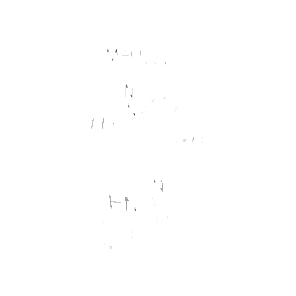 COC(=O)c1nn(C)c2cc(C(=O)C3CCN(C(=O)Nc4ccccc4)CC3)ccc12